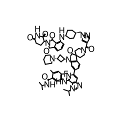 Cc1cc(F)c(Nc2nc(-c3ccc4c(c3)N([C@H]3C[C@@H](N5CCCCC5)C3)C(=O)C43CCN(C(=O)c4cnn(C[C@H]5CC[C@H](Nc6cccc7c6C(=O)N(C6CCC(=O)NC6=O)C7=O)CC5)c4)CC3)cc3ncn(C(C)C)c23)cc1C(=O)NC(C)C